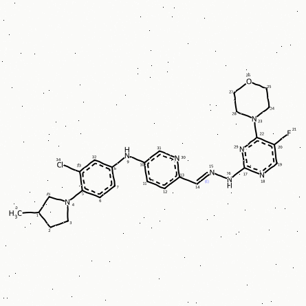 CC1CCN(c2ccc(Nc3ccc(/C=N/Nc4ncc(F)c(N5CCOCC5)n4)nc3)cc2Cl)C1